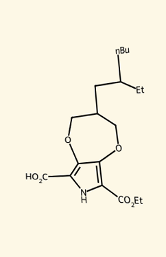 CCCCC(CC)CC1COc2c(C(=O)O)[nH]c(C(=O)OCC)c2OC1